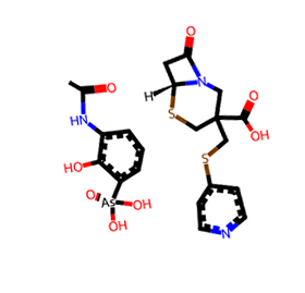 CC(=O)Nc1cccc([As](=O)(O)O)c1O.O=C1C[C@H]2SCC(CSc3ccncc3)(C(=O)O)CN12